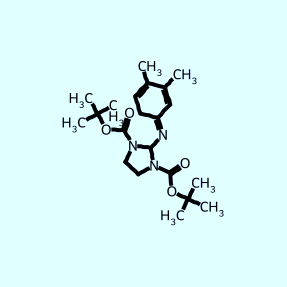 CC1=CCC(=NC2N(C(=O)OC(C)(C)C)CCN2C(=O)OC(C)(C)C)C=C1C